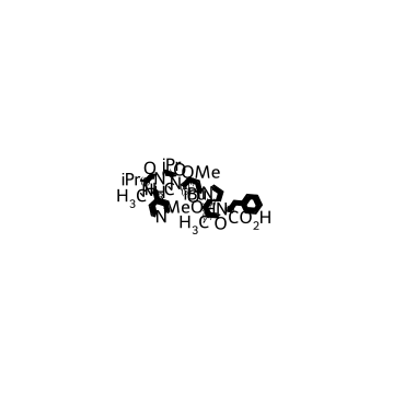 CC[C@H](C)[C@@H]([C@@H](CC(=O)N1CCC[C@H]1[C@H](OC)[C@@H](C)C(=O)N[C@@H](Cc1ccccc1)C(=O)O)OC)N(C)C(=O)[C@@H](NC(=O)[C@H](C(C)C)N(C)Cc1ccncc1)C(C)C